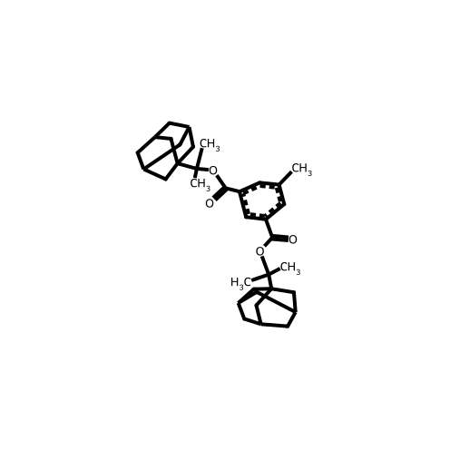 Cc1cc(C(=O)OC(C)(C)C23CC4CC(CC(C4)C2)C3)cc(C(=O)OC(C)(C)C23CC4CC(CC(C4)C2)C3)c1